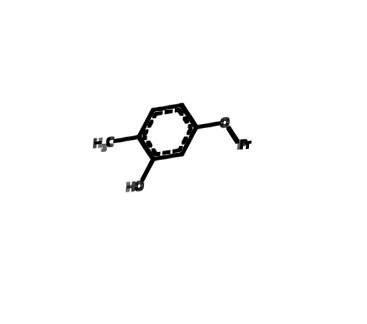 Cc1ccc(OC(C)C)cc1O